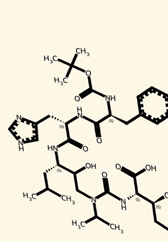 CC[C@H](C)[C@H](NC(=O)N(CC(O)[C@H](CC(C)C)NC(=O)[C@H](Cc1c[nH]cn1)NC(=O)[C@H](Cc1ccccc1)NC(=O)OC(C)(C)C)C(C)C)C(=O)O